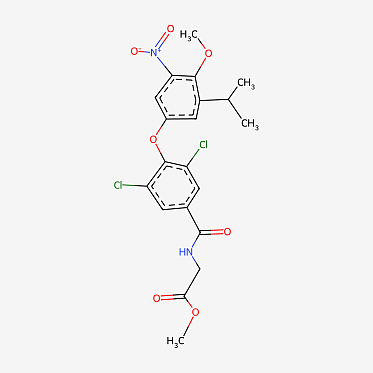 COC(=O)CNC(=O)c1cc(Cl)c(Oc2cc(C(C)C)c(OC)c([N+](=O)[O-])c2)c(Cl)c1